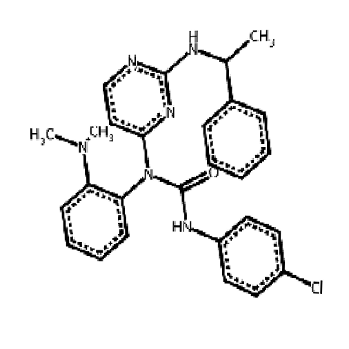 CC(Nc1nccc(N(C(=O)Nc2ccc(Cl)cc2)c2ccccc2N(C)C)n1)c1ccccc1